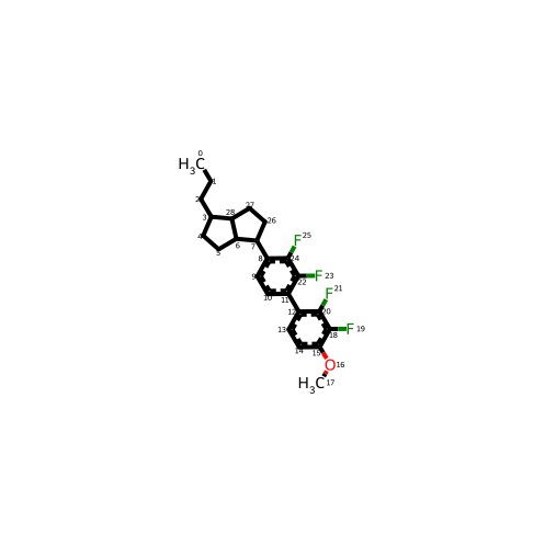 CCCC1CCC2C(c3ccc(-c4ccc(OC)c(F)c4F)c(F)c3F)CCC12